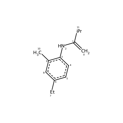 C=C(Nc1ccc(CC)cc1C)C(C)C